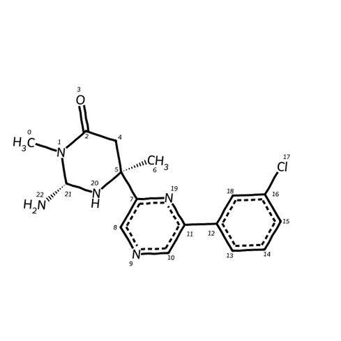 CN1C(=O)C[C@@](C)(c2cncc(-c3cccc(Cl)c3)n2)N[C@@H]1N